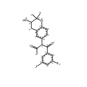 CC(=O)N(C(=O)c1cc(F)cc(F)c1)c1ccc2c(c1)CC(O)C(C)(C)O2